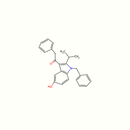 CC(C)c1c(C(=O)Cc2ccccc2)c2cc(O)ccc2n1Cc1ccccc1